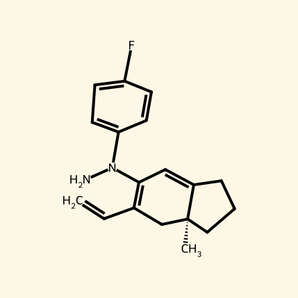 C=CC1=C(N(N)c2ccc(F)cc2)C=C2CCC[C@@]2(C)C1